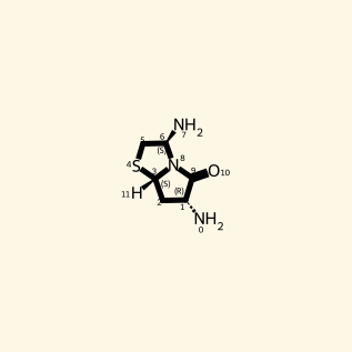 N[C@@H]1C[C@@H]2SC[C@@H](N)N2C1=O